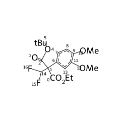 CCOC(=O)C(C(=O)OC(C)(C)C)(c1ccc(OC)c(OC)c1)C(F)F